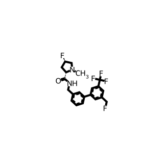 CN1C[C@@H](F)C[C@H]1C(=O)NCc1cccc(-c2cc(CF)cc(C(F)(F)F)c2)c1